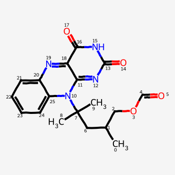 CC(COC=O)CC(C)(C)n1c2nc(=O)[nH]c(=O)c-2nc2ccccc21